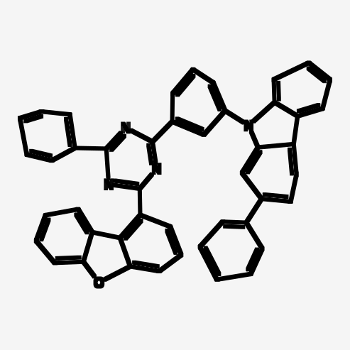 c1ccc(-c2ccc3c4ccccc4n(-c4cccc(-c5nc(-c6ccccc6)nc(-c6cccc7oc8ccccc8c67)n5)c4)c3c2)cc1